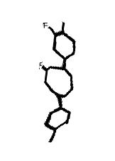 CC1CCC(C2CCC(C3CCC(C)C(F)C3)C(F)C2)CC1